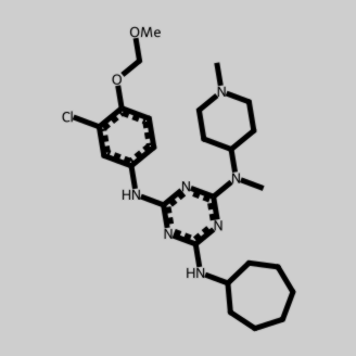 COCOc1ccc(Nc2nc(NC3CCCCCC3)nc(N(C)C3CCN(C)CC3)n2)cc1Cl